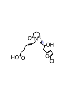 O=C(O)CCCC#CCN1C(=O)CCC[C@@H]1/C=C/C(O)Cc1ccc(Cl)o1